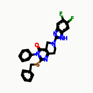 O=c1c2c(nc(SCc3ccccc3)n1-c1ccccc1)CCN(c1nc3cc(F)c(F)cc3[nH]1)C2